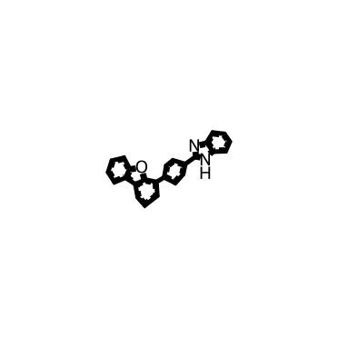 c1ccc2[nH]c(-c3ccc(-c4cccc5c4oc4ccccc45)cc3)nc2c1